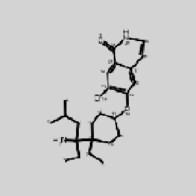 CCC(N)(CC(C)C)C1(CC)CCC(Oc2cc3cc[nH]c(=O)c3cc2Cl)CC1